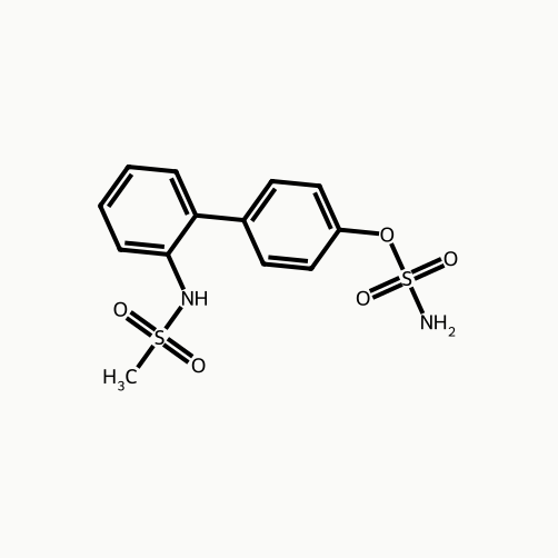 CS(=O)(=O)Nc1ccccc1-c1ccc(OS(N)(=O)=O)cc1